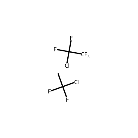 CC(F)(F)Cl.FC(F)(F)C(F)(F)Cl